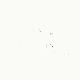 C=CS(=O)(=O)NC[C@H]1CCN([S+]([O-])c2ccc(C)cc2)C1